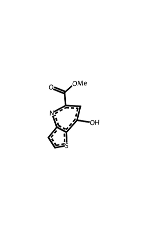 COC(=O)c1cc(O)c2sccc2n1